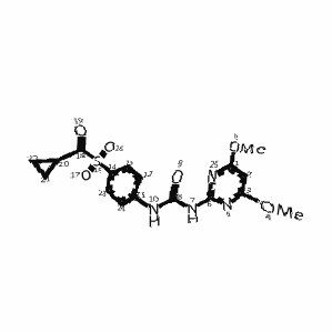 COc1cc(OC)nc(NC(=O)Nc2ccc(S(=O)(=O)C(=O)C3CC3)cc2)n1